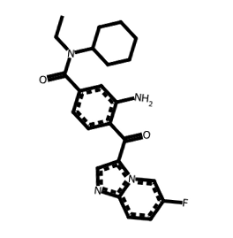 CCN(C(=O)c1ccc(C(=O)c2cnc3ccc(F)cn23)c(N)c1)C1CCCCC1